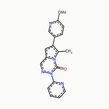 COc1ccc(-c2cc3cnn(-c4ccccn4)c(=O)n3c2C)cn1